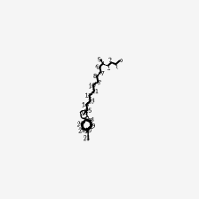 CCCCC(C)CCCCCCCCCCOc1ccc(I)cc1